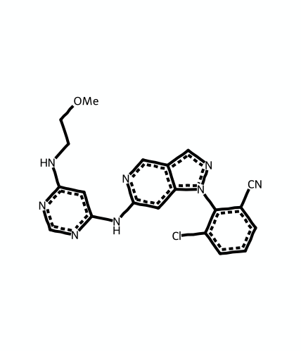 COCCNc1cc(Nc2cc3c(cn2)cnn3-c2c(Cl)cccc2C#N)ncn1